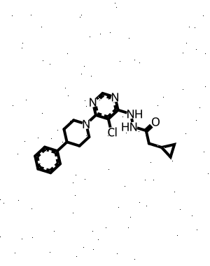 O=C(CC1CC1)NNc1ncnc(N2CCC(c3ccccc3)CC2)c1Cl